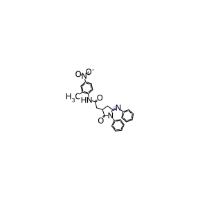 Cc1cc([N+](=O)[O-])ccc1NC(=O)CC1C/C(=N/c2ccccc2)N(c2ccccc2)C1=O